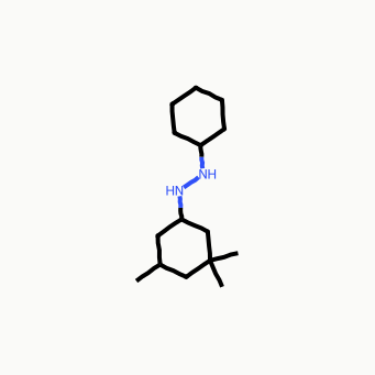 CC1CC(NNC2CCCCC2)CC(C)(C)C1